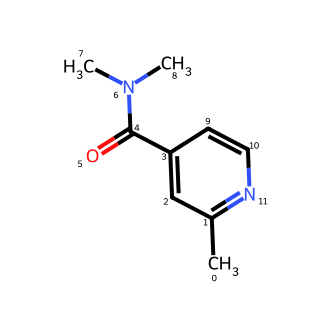 Cc1cc(C(=O)N(C)C)ccn1